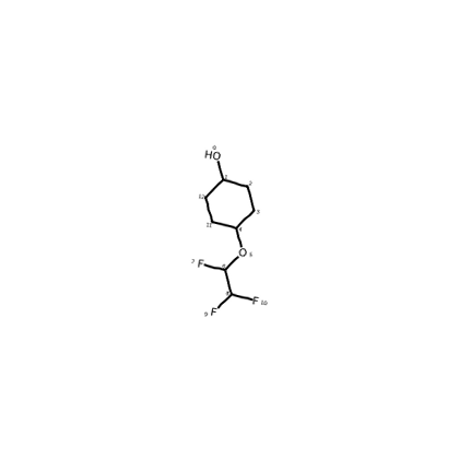 OC1CCC(OC(F)C(F)F)CC1